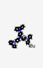 CCC(C)c1ccc2c(c1)c1ccccc1n2-c1ccc(N(c2ccc(-n3c4ccccc4c4ccccc43)cc2)c2ccc(-n3c4ccccc4c4ccccc43)cc2)cc1